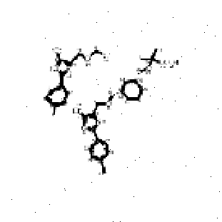 CCc1oc(-c2ccc(C)cc2)nc1COCCl.CCc1oc(-c2ccc(C)cc2)nc1COC[C@H]1CCC[C@@H](COC(C)(C)C(=O)O)C1